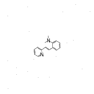 CN(C)c1ccccc1/C=C/c1ccccn1